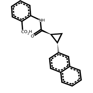 O=C(O)c1ccccc1NC(=O)[C@H]1C[C@@H]1c1ccc2ccccc2c1